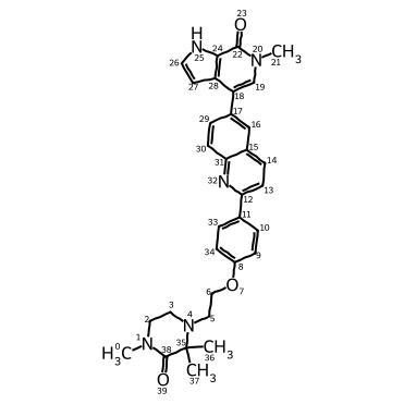 CN1CCN(CCOc2ccc(-c3ccc4cc(-c5cn(C)c(=O)c6[nH]ccc56)ccc4n3)cc2)C(C)(C)C1=O